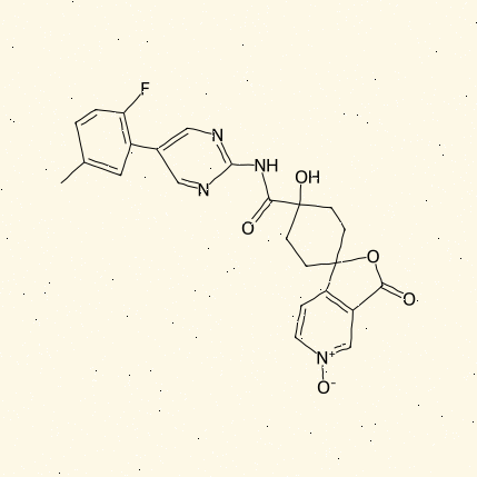 Cc1ccc(F)c(-c2cnc(NC(=O)C3(O)CCC4(CC3)OC(=O)c3c[n+]([O-])ccc34)nc2)c1